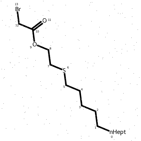 CCCCCCCCCCCCSCCOC(=O)CBr